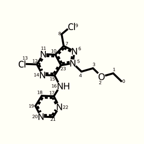 CCOCCn1nc(CCl)c2nc(Cl)nc(Nc3ccncn3)c21